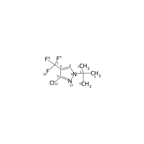 CC(C)(C)n1cc(C(F)(F)F)c(Cl)n1